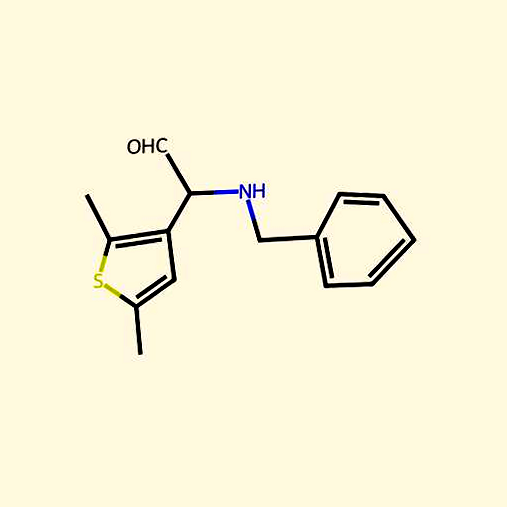 Cc1cc(C(C=O)NCc2ccccc2)c(C)s1